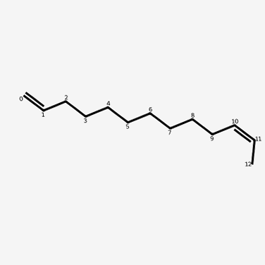 C=CCCCCCCCC/C=C\C